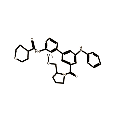 COCC1CCCN1C(=O)c1cc(Nc2ccccc2)cc(-c2ccnc(NC(=O)C3CCOCC3)c2)c1